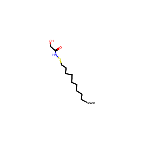 CCCCCCCCCCCCCCCCCCSNC(=O)CO